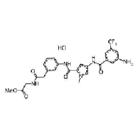 COC(=O)CNC(=O)Cc1cccc(NC(=O)c2cc(NC(=O)c3cc(N)cc(C(F)(F)F)c3)cn2C)c1.Cl